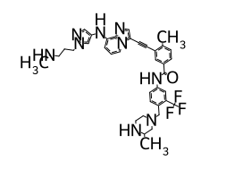 CNCCCn1cc(Nc2cccn3c(C#Cc4cc(C(=O)Nc5ccc(CN6CCNC(C)C6)c(C(F)(F)F)c5)ccc4C)cnc23)cn1